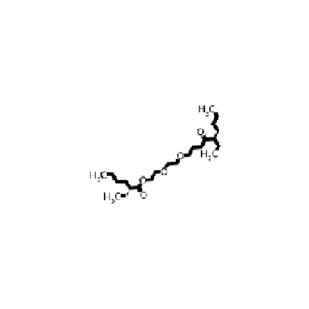 CCCC[C@@H](CC)C(=O)CCCOCCOCCOC(=O)[C@H](CC)CCCC